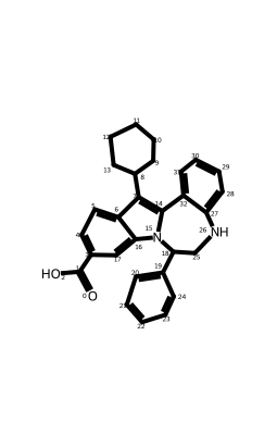 O=C(O)c1ccc2c(C3CCCCC3)c3n(c2c1)C(c1ccccc1)CNc1ccccc1-3